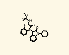 COC(=O)NCC(=O)N(c1ccccc1F)C1C(=O)N(C2CCCCC2)c2ccccc21